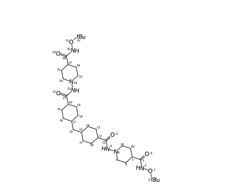 CC(C)(C)ONC(=O)C1CCN(NC(=O)C2CCC(CC3CCC(C(=O)NN4CCC(C(=O)NOC(C)(C)C)CC4)CC3)CC2)CC1